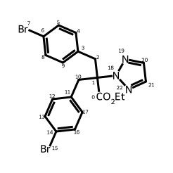 CCOC(=O)C(Cc1ccc(Br)cc1)(Cc1ccc(Br)cc1)n1nccn1